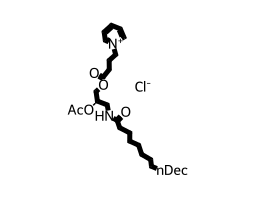 CCCCCCCCCCCCCCCCCC(=O)NC[C@@H](COC(=O)CCC[n+]1ccccc1)OC(C)=O.[Cl-]